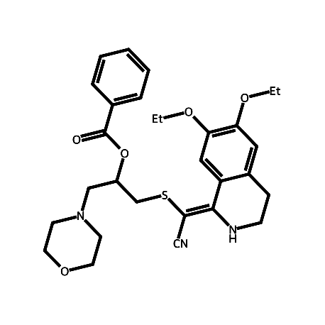 CCOc1cc2c(cc1OCC)C(=C(C#N)SCC(CN1CCOCC1)OC(=O)c1ccccc1)NCC2